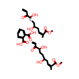 C=CC(=O)C(O)CCC(O)CC=C(C)C(=O)OC.C=CC(=O)C(O)CCC(O)CC=C(C)C(=O)OC.O=C(O)c1ccccc1C(=O)O